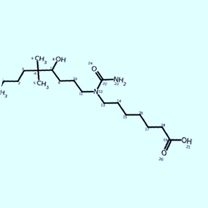 CCCCC(C)(C)C(O)CCCN(CCCCCCC(=O)O)C(N)=O